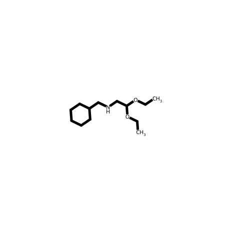 CCOC(CNCC1CCCCC1)OCC